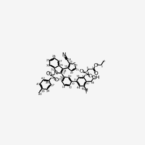 CCOC(=O)CS(=O)(=O)c1cc(-c2cccc(-c3c(-c4ccsc4C#N)c4ccccc4n3S(=O)(=O)c3ccc(C)cc3)c2)cc(F)c1CO